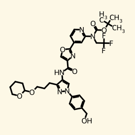 CC(C)(C)OC(=O)N(CC(F)(F)F)c1cc(-c2nc(C(=O)Nc3cn(-c4ccc(CO)cc4)nc3CCCOC3CCCCO3)co2)ccn1